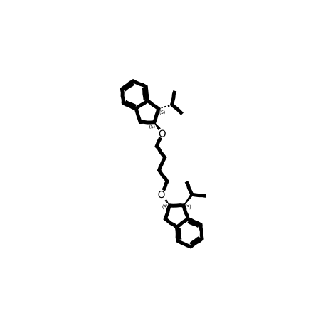 CC(C)[C@H]1c2ccccc2C[C@@H]1OCCCCO[C@H]1Cc2ccccc2[C@@H]1C(C)C